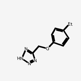 CCc1ccc(OCc2nn[nH]n2)cc1